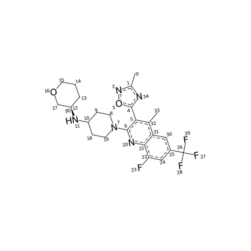 Cc1noc(-c2c(N3CCC(N[C@@H]4CCCOC4)CC3)nc3c(F)cc(C(F)(F)F)cc3c2C)n1